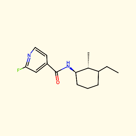 CCC1CCC[C@@H](NC(=O)c2ccnc(F)c2)[C@@H]1C